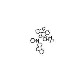 CC1(C)c2ccccc2C2(c3ccccc3-c3ccccc32)c2ccc(N(c3ccccc3)c3ccc4c(c3)oc3ccccc34)cc21